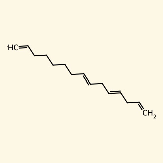 [CH]=CCCCCCC=CCC=CCC=C